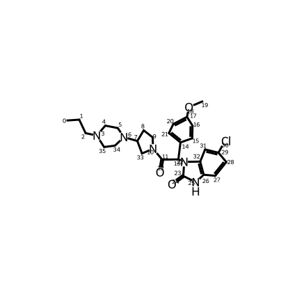 CCCN1CCN(C2CCN(C(=O)C(c3ccc(OC)cc3)n3c(=O)[nH]c4ccc(Cl)cc43)C2)CC1